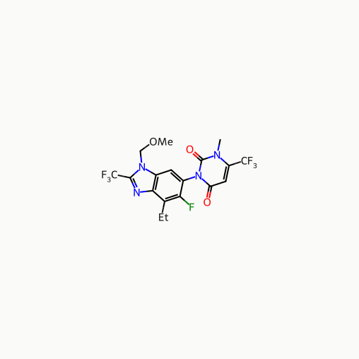 CCc1c(F)c(-n2c(=O)cc(C(F)(F)F)n(C)c2=O)cc2c1nc(C(F)(F)F)n2COC